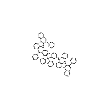 c1ccc(-c2cc3ccccc3c3c2oc2c(N(c4ccccc4)c4ccc5c(c4)C(c4ccccc4)(c4ccccc4)c4cc(N(c6ccccc6)c6cccc7c6oc6c(-c8ccccc8)cc8ccccc8c67)ccc4-5)cccc23)cc1